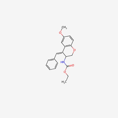 CCOC(=O)NC1COc2ccc(OC)cc2C1=Cc1ccccc1